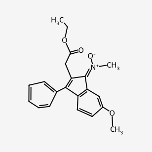 CCOC(=O)CC1=C(c2ccccc2)c2ccc(OC)cc2/C1=[N+](\C)[O-]